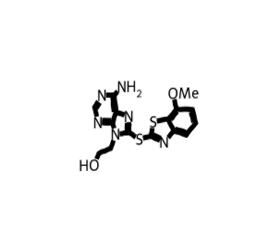 COc1cccc2nc(Sc3nc4c(N)ncnc4n3CCO)sc12